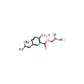 CCCCC(CC)COC(=O)c1cc(CC(CC)CCCC)ccc1C(=O)O